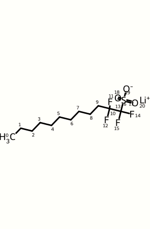 CCCCCCCCCCC(F)(F)C(F)(F)S(=O)(=O)[O-].[Li+]